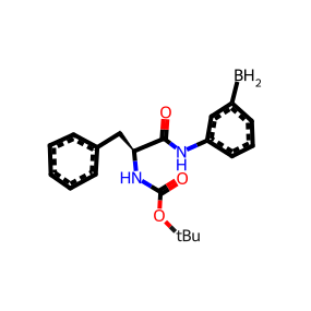 Bc1cccc(NC(=O)[C@H](Cc2ccccc2)NC(=O)OC(C)(C)C)c1